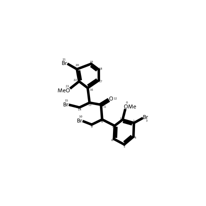 COc1c(Br)cccc1C(CBr)C(=O)C(CBr)c1cccc(Br)c1OC